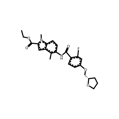 CCOC(=O)c1cc2c(C)c(NC(=O)c3ccc(OC[C@@H]4CCCO4)cc3F)ccc2n1C